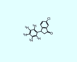 [2H]c1c([2H])c([2H])c(C2CC(=O)c3cc(Cl)ccc32)c([2H])c1[2H]